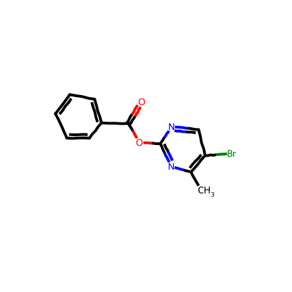 Cc1nc(OC(=O)c2ccccc2)ncc1Br